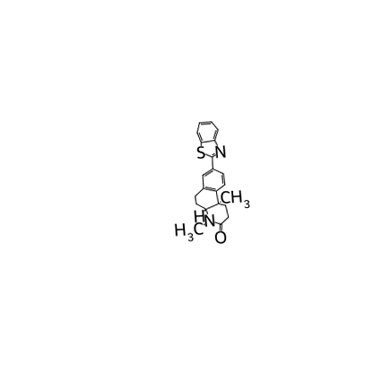 CN1C(=O)CC[C@]2(C)c3ccc(-c4nc5ccccc5s4)cc3CC[C@@H]12